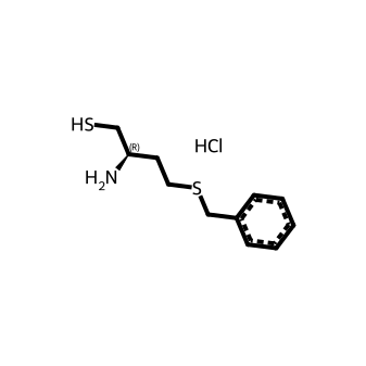 Cl.N[C@@H](CS)CCSCc1ccccc1